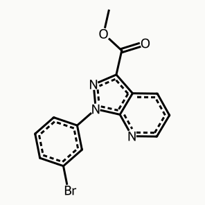 COC(=O)c1nn(-c2cccc(Br)c2)c2ncccc12